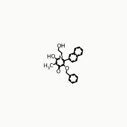 Cc1c(O)n(CCO)c(-c2ccc3ccccc3c2)c(OCc2ccccc2)c1=O